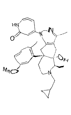 COc1ccc(C)c([C@]23CCN(CC4CC4)[C@H](C)[C@]2(O)Cc2c(C)nn(-c4cc[nH]c(=O)c4)c2C3)c1